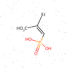 CCC(=CP(=O)(O)O)C(=O)O